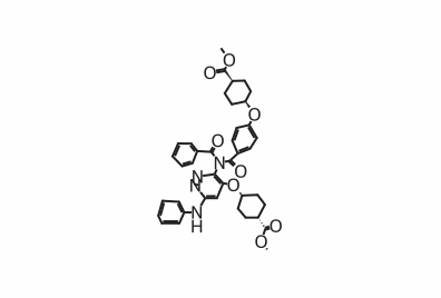 COC(=O)[C@H]1CC[C@@H](Oc2ccc(C(=O)N(C(=O)c3ccccc3)c3nnc(Nc4ccccc4)cc3O[C@H]3CC[C@@H](C(=O)OC)CC3)cc2)CC1